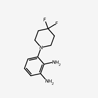 Nc1cccc(N2CCC(F)(F)CC2)c1N